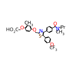 Cc1cc(OCc2nc(-c3ccc(C(=O)N(C)C(C)C)cc3)c(-c3ccc(OC(F)(F)F)cc3)s2)ccc1OCC(=O)O